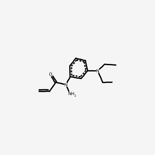 C=CC(=O)N(N)c1cccc(N(CC)CC)c1